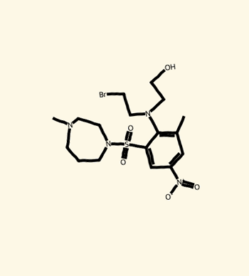 Cc1cc([N+](=O)[O-])cc(S(=O)(=O)N2CCCN(C)CC2)c1N(CCO)CCBr